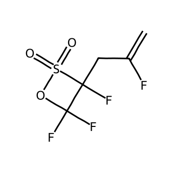 C=C(F)CC1(F)C(F)(F)OS1(=O)=O